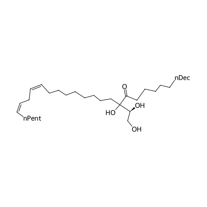 CCCCC/C=C\C/C=C\CCCCCCCCC(O)(C(=O)CCCCCCCCCCCCCCC)[C@@H](O)CO